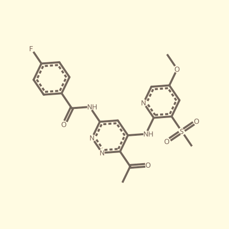 COc1cnc(Nc2cc(NC(=O)c3ccc(F)cc3)nnc2C(C)=O)c(S(C)(=O)=O)c1